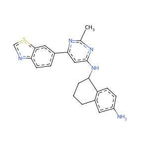 Cc1nc(NC2CCCc3cc(N)ccc32)cc(-c2ccc3ncsc3c2)n1